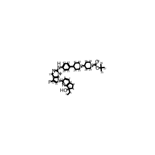 CC[C@@]1(O)CCc2ccc(-n3cc(F)c4cnc(Nc5ccc(C6CCN(C7CCN(C(=O)OC(C)(C)C)CC7)CC6)cc5)nc43)nc21